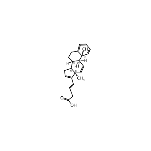 C[C@]12C=CC=C=C1CC[C@@H]1[C@@H]2C=C[C@]2(C)C(C=CCC(=O)O)=CC[C@@H]12